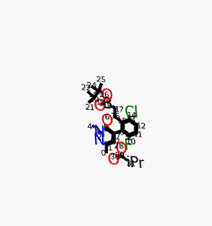 Cc1nn(C)c(=O)c(-c2c(F)ccc(Cl)c2CCB2OC(C)(C)C(C)(C)O2)c1OC(=O)C(C)C